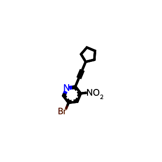 O=[N+]([O-])c1cc(Br)cnc1C#CC1CCCC1